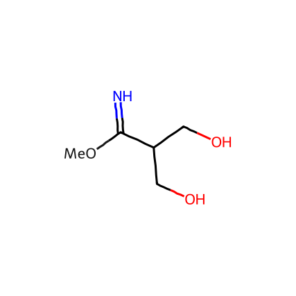 COC(=N)C(CO)CO